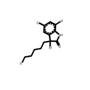 CCC1(CCCCCCl)C(=O)Nc2c(Cl)cc(Cl)cc21